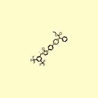 CCOC(=O)C(c1ccccc1)N1CCN(c2ccc(-n3ccn([C@@H](C)c4cc(C(F)(F)F)cc(C(F)(F)F)c4)c3=O)cc2)CC1